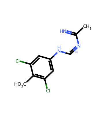 CC(=N)/N=C\Nc1cc(Cl)c(C(=O)O)c(Cl)c1